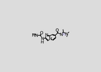 CCNC(=O)Nc1cn2ccc(C(=O)/N=C(\C)N(C)C)cc2n1